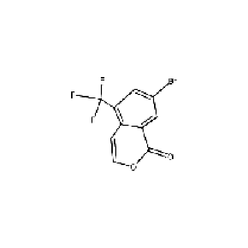 O=c1occc2c(C(F)(F)F)cc(Br)cc12